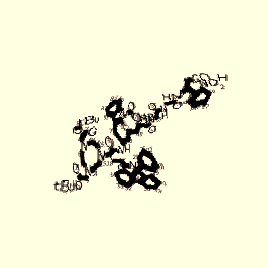 CC(C)(C)OC(=O)CN1CCN(CC(=O)OC(C)(C)C)CCN([C@@H](CCC(=O)NC(c2ccccc2)(c2ccccc2)c2ccccc2)C(=O)NC(CCCCC(=O)NCC(=O)NCC(=O)NC(CC(=O)O)c2ccccc2[N+](=O)[O-])Cc2cn(C(=O)OC(C)(C)C)c3ccccc23)CC1